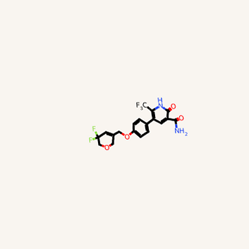 NC(=O)c1cc(-c2ccc(OCC3=CC(F)(F)COC3)cc2)c(C(F)(F)F)[nH]c1=O